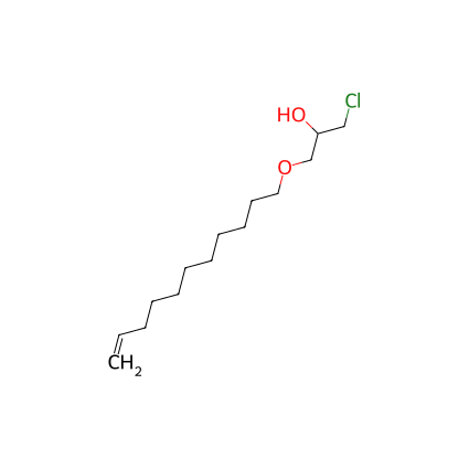 C=CCCCCCCCCCOCC(O)CCl